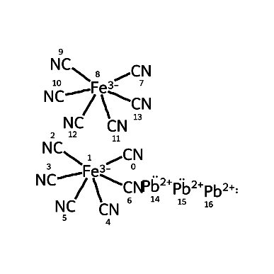 N#[C][Fe-3]([C]#N)([C]#N)([C]#N)([C]#N)[C]#N.N#[C][Fe-3]([C]#N)([C]#N)([C]#N)([C]#N)[C]#N.[Pb+2].[Pb+2].[Pb+2]